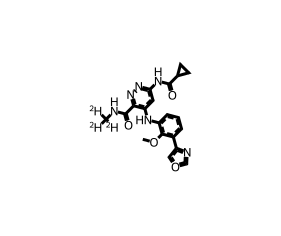 [2H]C([2H])([2H])NC(=O)c1nnc(NC(=O)C2CC2)cc1Nc1cccc(-c2cocn2)c1OC